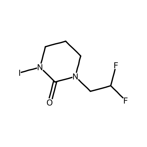 O=C1N(I)CCCN1CC(F)F